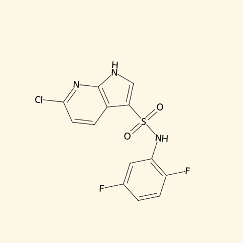 O=S(=O)(Nc1cc(F)ccc1F)c1c[nH]c2nc(Cl)ccc12